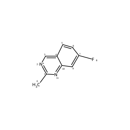 CC1=[N+]C=c2c[c]c(F)cc2=N1